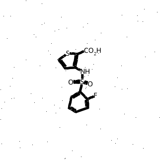 O=C(O)c1sccc1NS(=O)(=O)c1ccccc1F